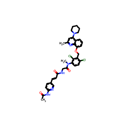 CC(=O)Nc1ccc(C=CC(=O)NCC(=O)N(C)c2ccc(Cl)c(COc3cccc4c(N5CCCCC5)cc(C)nc34)c2Cl)cn1